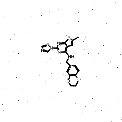 Cc1cc2c(NCc3ccc4c(c3)OCCO4)nc(-n3cncn3)nc2s1